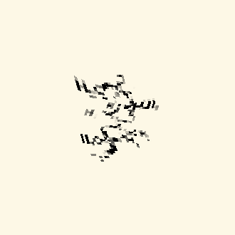 C=C[Si](C)(C)O[Si](C)(C)O[Si](OC)(OC)O[Si](C)(C)C=C